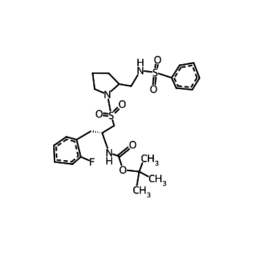 CC(C)(C)OC(=O)N[C@H](Cc1ccccc1F)CS(=O)(=O)N1CCCC1CNS(=O)(=O)c1ccccc1